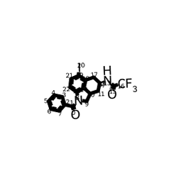 O=C(c1ccccc1)N1CC2C[C@H](NC(=O)C(F)(F)F)Cc3c(I)ccc1c32